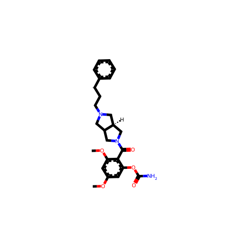 COc1cc(OC)c(C(=O)N2CC3CN(CC[CH]c4ccccc4)C[C@H]3C2)c(OC(N)=O)c1